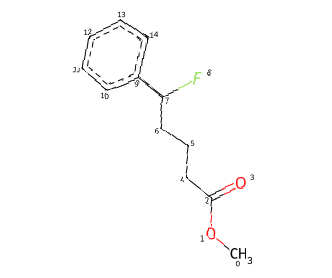 COC(=O)CCCC(F)c1ccccc1